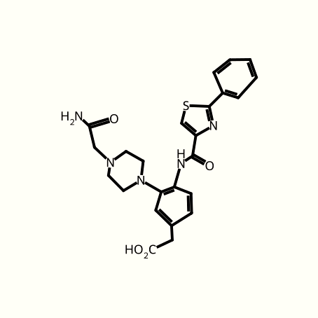 NC(=O)CN1CCN(c2cc(CC(=O)O)ccc2NC(=O)c2csc(-c3ccccc3)n2)CC1